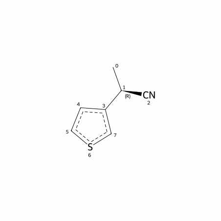 C[C@@H](C#N)c1ccsc1